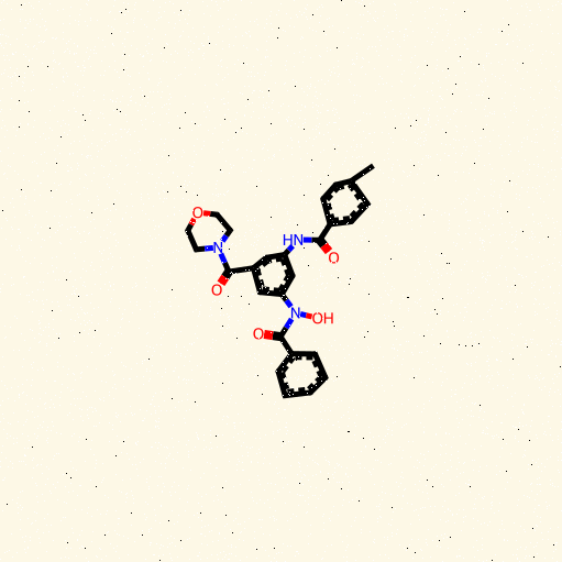 Cc1ccc(C(=O)Nc2cc(C(=O)N3CCOCC3)cc(N(O)C(=O)c3ccccc3)c2)cc1